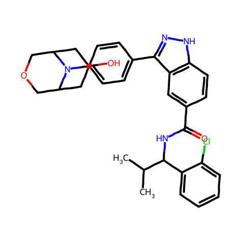 CC(C)C(NC(=O)c1ccc2[nH]nc(-c3ccc(N4C5COCC4CC(O)C5)cc3)c2c1)c1ccccc1Cl